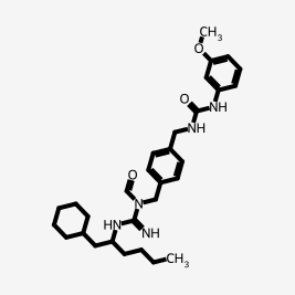 CCCCC(CC1CCCCC1)NC(=N)N(C=O)Cc1ccc(CNC(=O)Nc2cccc(OC)c2)cc1